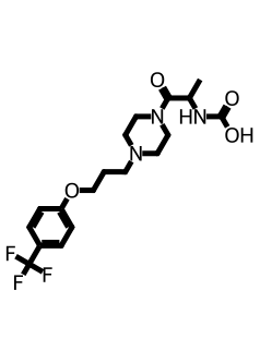 CC(NC(=O)O)C(=O)N1CCN(CCCOc2ccc(C(F)(F)F)cc2)CC1